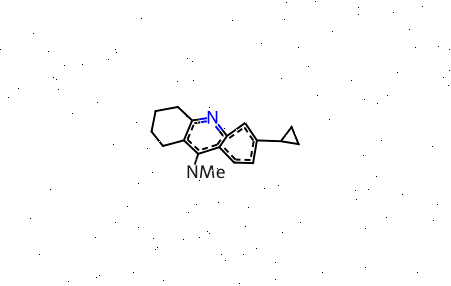 CNc1c2c(nc3cc(C4CC4)ccc13)CCCC2